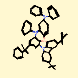 CC(C)(C)C1=CC2B3C4=CCC(N(c5ccccc5)c5ccccc5)C=C4N(C4C=CC=CC4)C4=C3C(CC(C(C)(C)C3=CCCC=C3)C4)N3C4C=CC(C(C)(C)C)CC4C(C1)C23